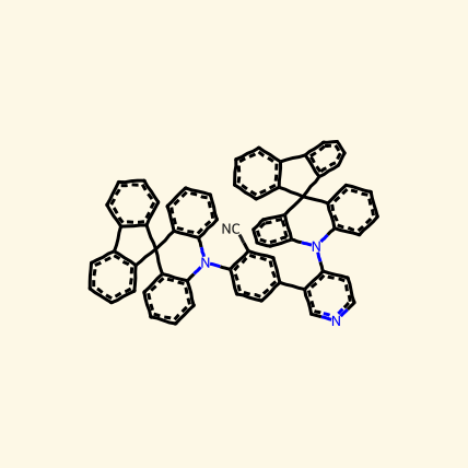 N#Cc1cc(-c2cnccc2N2c3ccccc3C3(c4ccccc4-c4ccccc43)c3ccccc32)ccc1N1c2ccccc2C2(c3ccccc3-c3ccccc32)c2ccccc21